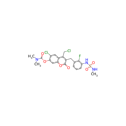 CNS(=O)(=O)Nc1cccc(Cc2c(CCl)c3cc(Cl)c(OC(=O)N(C)C)cc3oc2=O)c1F